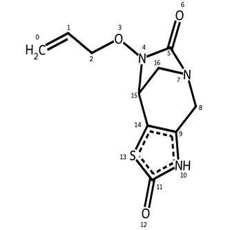 C=CCON1C(=O)N2Cc3[nH]c(=O)sc3C1C2